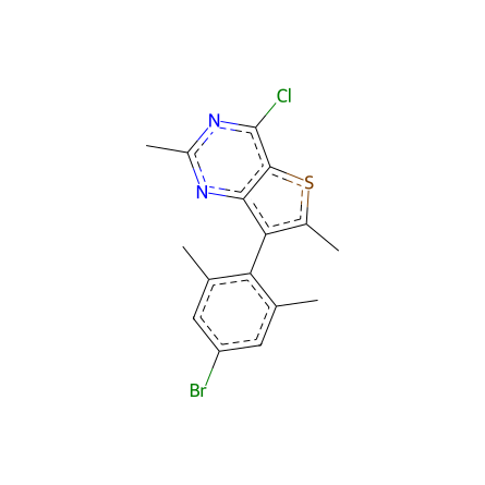 Cc1nc(Cl)c2sc(C)c(-c3c(C)cc(Br)cc3C)c2n1